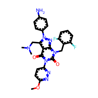 COc1ccc(-n2c(=O)c3c(CN(C)C)n(-c4ccc(N)cc4)nc3n(Cc3c(F)cccc3F)c2=O)nn1